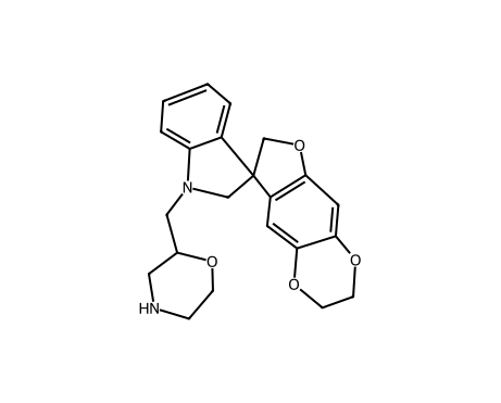 c1ccc2c(c1)N(CC1CNCCO1)CC21COc2cc3c(cc21)OCCO3